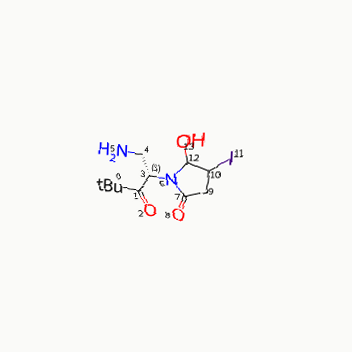 CC(C)(C)C(=O)[C@H](CN)N1C(=O)CC(I)C1O